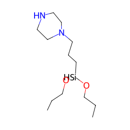 CCCO[SiH](CCCN1CCNCC1)OCCC